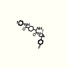 NC(C(=O)NCC1(c2ccc(F)cc2)CC1)C1CCC(C(=O)Nc2ccncc2)CC1